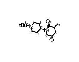 CC1C[C@@H](C)CN(C2CCN(C(C)(C)C)CC2)C1=O